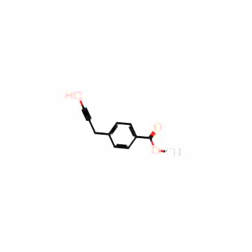 COC(=O)c1ccc(CC#CO)cc1